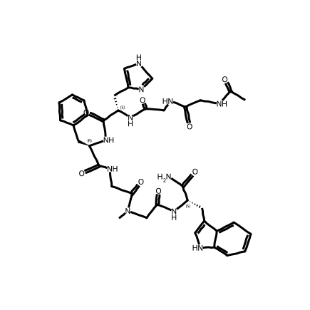 CC(=O)NCC(=O)NCC(=O)N[C@@H](Cc1c[nH]cn1)C(=O)N[C@H](Cc1ccccc1)C(=O)NCC(=O)N(C)CC(=O)N[C@@H](Cc1c[nH]c2ccccc12)C(N)=O